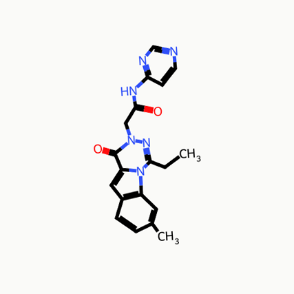 CCc1nn(CC(=O)Nc2ccncn2)c(=O)c2cc3ccc(C)cc3n12